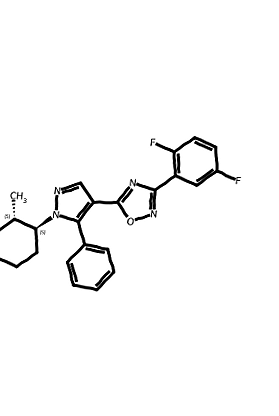 C[C@H]1CCCC[C@@H]1n1ncc(-c2nc(-c3cc(F)ccc3F)no2)c1-c1ccccc1